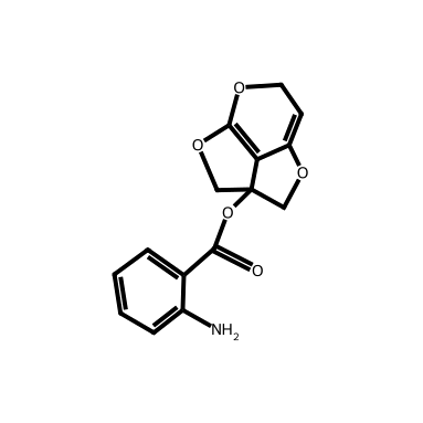 Nc1ccccc1C(=O)OC12COC3=CCOC(=C31)OC2